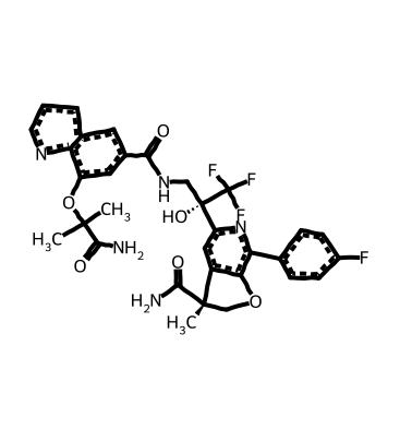 CC(C)(Oc1cc(C(=O)NC[C@](O)(c2cc3c(c(-c4ccc(F)cc4)n2)OC[C@]3(C)C(N)=O)C(F)(F)F)cc2cccnc12)C(N)=O